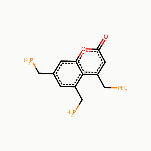 O=c1cc(CP)c2c(CP)cc(CP)cc2o1